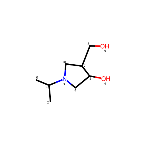 CC(C)N1CC(O)C(CO)C1